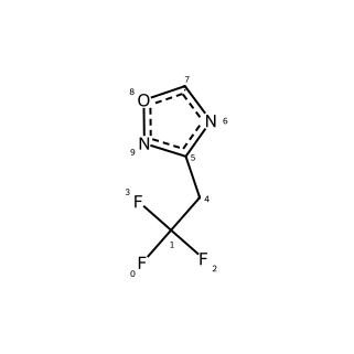 FC(F)(F)Cc1n[c]on1